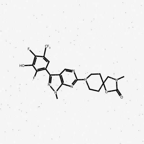 CN1CC2(CCN(c3ncc4c(-c5cc(C(F)(F)F)c(F)c(O)c5F)nn(C)c4n3)CC2)OC1=O